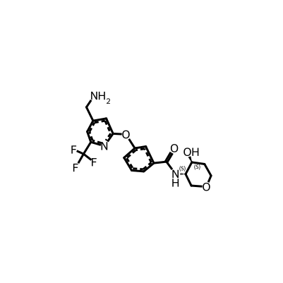 NCc1cc(Oc2cccc(C(=O)N[C@H]3COCC[C@@H]3O)c2)nc(C(F)(F)F)c1